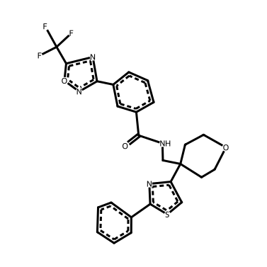 O=C(NCC1(c2csc(-c3ccccc3)n2)CCOCC1)c1cccc(-c2noc(C(F)(F)F)n2)c1